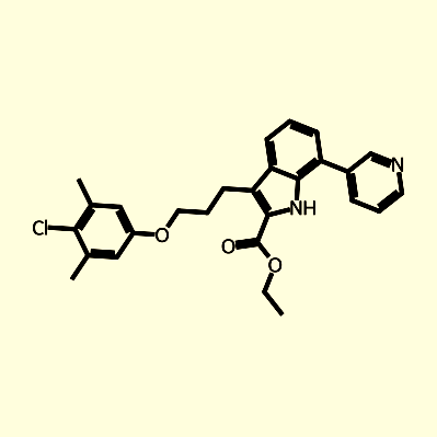 CCOC(=O)c1[nH]c2c(-c3cccnc3)cccc2c1CCCOc1cc(C)c(Cl)c(C)c1